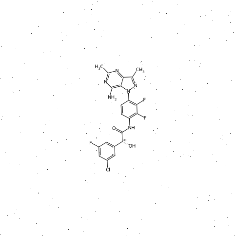 Cc1nc(N)c2c(n1)c(C)nn2-c1ccc(NC(=O)[C@H](O)c2cc(F)cc(Cl)c2)c(F)c1F